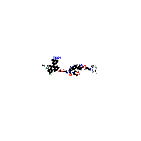 CC/C(=C(/c1ccc(OCCOCCCn2c(=O)n(C3CCOCC3)c3c4cc(-c5ccc(OCCCN(C)C)nc5)ccc4ncc32)cc1)c1ccc2[nH]ncc2c1)c1ccc(Cl)cc1F